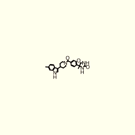 Cc1ccc2c(C3CCN(C(=O)c4ccc(C5(C)NC(=O)NC5=O)cc4)CC3)c[nH]c2c1